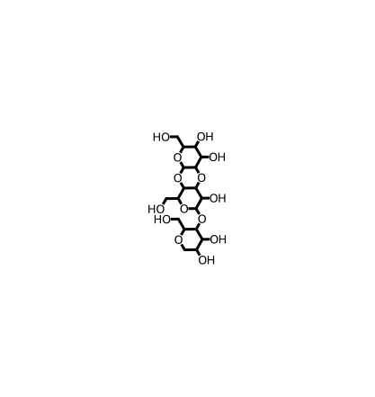 OCC1OC2OC3C(CO)OC(OC4C(CO)OCC(O)C4O)C(O)C3OC2C(O)C1O